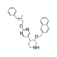 C/C(=C\c1ccccc1)COc1ncc(C2CCNCC2OCc2ccc3ccccc3c2)cn1